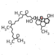 CCC1Cc2ccc(O)c3c2C2(CC)C1CCC(OC(O)CCC(=O)C(C)CCCCCC(=O)C(C)CCCCC(C)C(C)=O)C2O3